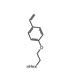 C=Cc1ccc(OCCCCCCCC)cc1